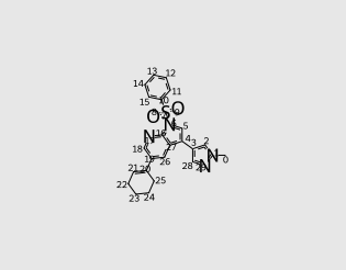 Cn1cc(-c2cn(S(=O)(=O)c3ccccc3)c3ncc(C4=CCCCC4)cc23)cn1